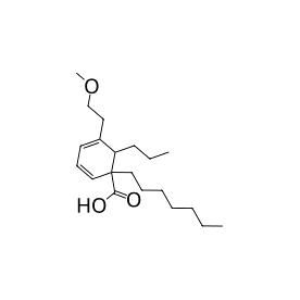 CCCCCCCC1(C(=O)O)C=CC=C(CCOC)C1CCC